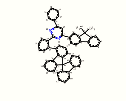 CC1(C)c2ccccc2-c2ccc(-c3cc(-c4ccccc4)nc(-c4ccccc4-c4cccc5c4-c4ccccc4C54c5ccccc5-c5ccccc54)n3)cc21